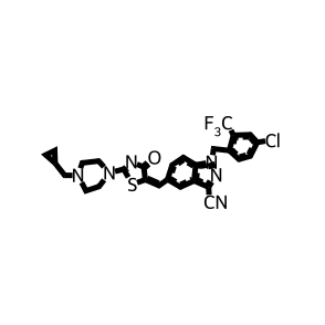 N#Cc1nn(Cc2ccc(Cl)cc2C(F)(F)F)c2ccc(C=C3SC(N4CCN(CC5CC5)CC4)=NC3=O)cc12